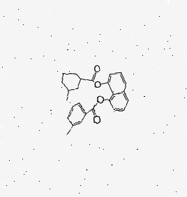 Cc1cccc(C(=O)Oc2cccc3cccc(OC(=O)C4CCCC(C)C4)c23)c1